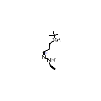 C=CN/N=C\CCNC(C)(C)C